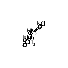 CC1(C2CCCCC2)CCSC1CNC(=O)[C@@H]1CC(NC(=O)COc2ccc(Cl)c(F)c2)C2CC1C2